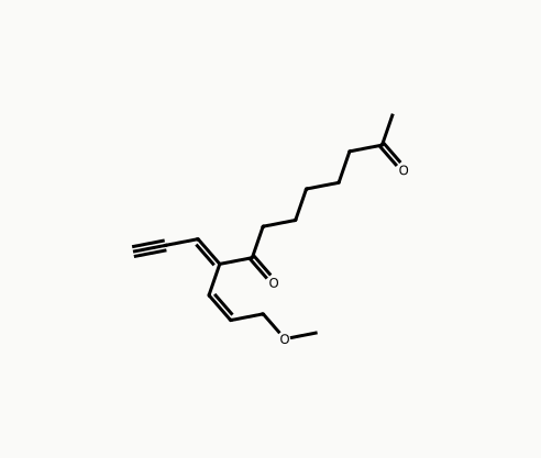 C#C/C=C(\C=C/COC)C(=O)CCCCCC(C)=O